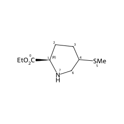 CCOC(=O)[C@H]1CCC(SC)CN1